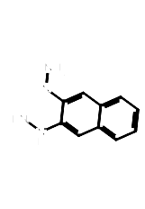 NNc1cc2ccccc2cc1NN